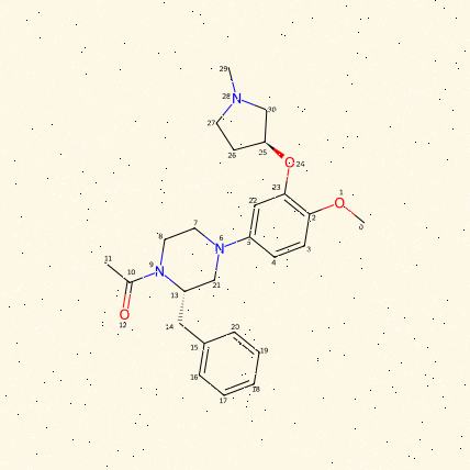 COc1ccc(N2CCN(C(C)=O)[C@@H](Cc3ccccc3)C2)cc1O[C@H]1CCN(C)C1